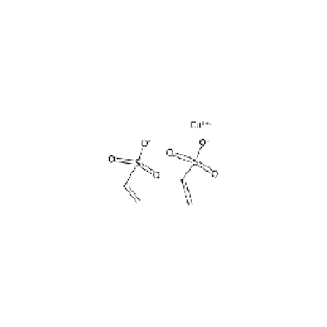 C=CS(=O)(=O)[O-].C=CS(=O)(=O)[O-].[Cu+2]